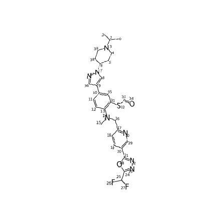 CC(C)N1CCC(n2cc(-c3ccc(N(C)Cc4ccc(-c5nnc(C(F)F)o5)cn4)c(SC=O)c3)cn2)CC1